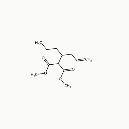 C=CCC(CCC)C(C(=O)OC)C(=O)OC